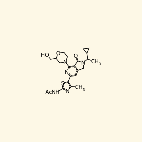 CC(=O)Nc1nc(C)c(-c2cc3c(c(N4CCOC(CO)C4)n2)C(=O)N(C(C)C2CC2)C3)s1